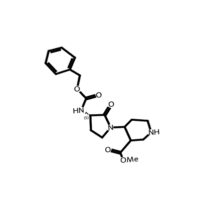 COC(=O)C1CNCCC1N1CC[C@H](NC(=O)OCc2ccccc2)C1=O